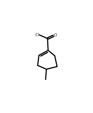 CC1CC=C(C(=O)Cl)CC1